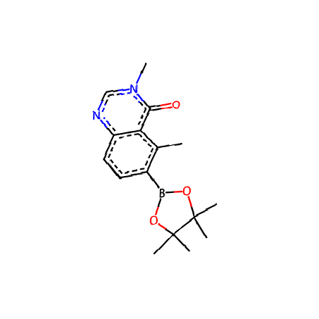 Cc1c(B2OC(C)(C)C(C)(C)O2)ccc2ncn(C)c(=O)c12